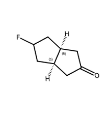 O=C1C[C@@H]2CC(F)C[C@@H]2C1